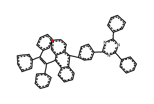 c1ccc(C(=C(c2ccccc2)c2c3ccccc3c(-c3ccc(-c4nc(-c5ccccc5)nc(-c5ccccc5)n4)cc3)c3ccccc23)c2ccccc2)cc1